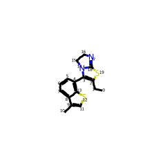 CCC1=C(c2cccc3c(C)csc23)N2CCN=C2S1